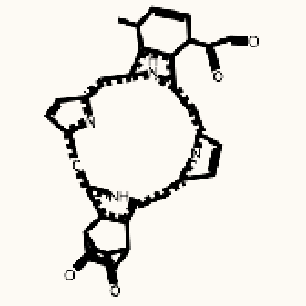 CC1C=CC(C(=O)C=O)c2c1c1cc3nc(cc4[nH]c(cc5nc(cc2[nH]1)C=C5)c1c4C2C=CC1C(=O)C2=O)C=C3